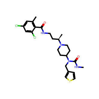 CNC(=O)N(Cc1ccsc1)C1CCN([C@H](C)CCNC(=O)c2c(C)cc(Cl)cc2Cl)CC1